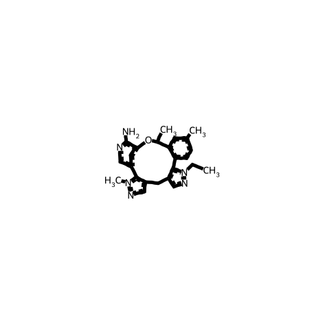 CCn1ncc2c1-c1ccc(C)cc1C(C)Oc1cc(cnc1N)-c1c(cnn1C)C2